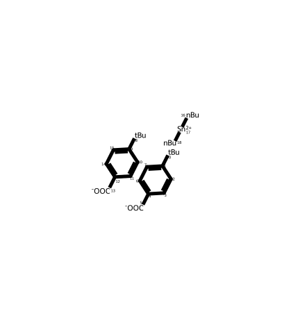 CC(C)(C)c1ccc(C(=O)[O-])cc1.CC(C)(C)c1ccc(C(=O)[O-])cc1.CCC[CH2][Sn+2][CH2]CCC